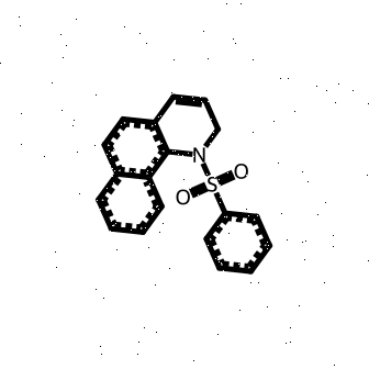 O=S(=O)(c1ccccc1)N1CC=Cc2ccc3ccccc3c21